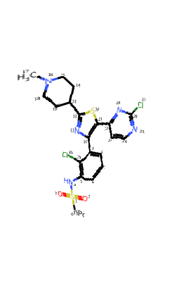 CCCS(=O)(=O)Nc1cccc(-c2nc(C3CCN(C)CC3)sc2-c2ccnc(Cl)n2)c1Cl